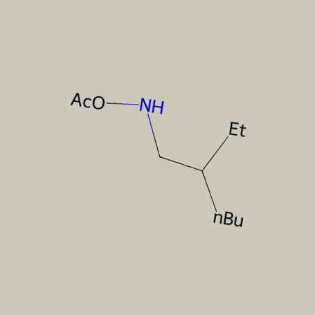 CCCCC(CC)CNOC(C)=O